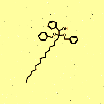 CCCCCCCCCCCCCCCC(OCc1ccccc1)(OCc1ccccc1)C(O)c1ccccc1